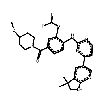 COC1CCN(C(=O)c2ccc(Nc3nccc(-c4cnc5c(c4)C(C)(C)CN5)n3)c(OC(F)F)c2)CC1